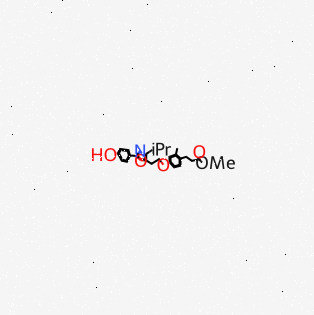 COC(=O)CCc1ccc(OCCc2oc(-c3ccc(O)cc3)nc2C(C)C)cc1C